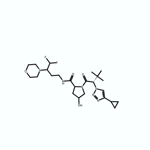 CC(C)(C)[C@@H](C(=O)N1CC(O)CC1C(=O)NCCC(C(F)F)N1CCOCC1)n1cc(C2CC2)nn1